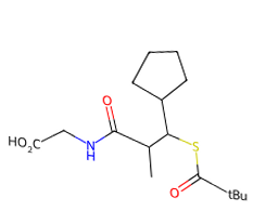 CC(C(=O)NCC(=O)O)C(SC(=O)C(C)(C)C)C1CCCC1